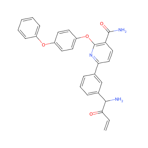 C=CC(=O)C(N)c1cccc(-c2ccc(C(N)=O)c(Oc3ccc(Oc4ccccc4)cc3)n2)c1